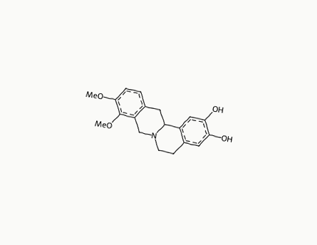 COc1ccc2c(c1OC)CN1CCc3cc(O)c(O)cc3C1C2